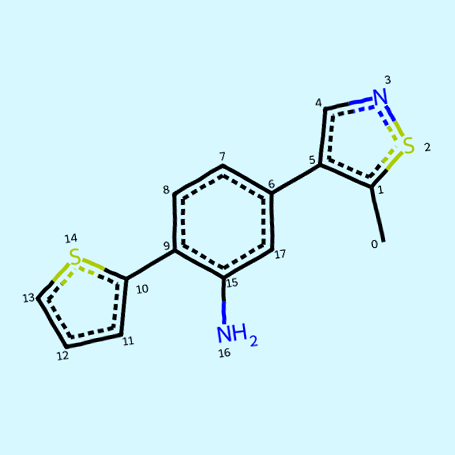 Cc1sncc1-c1ccc(-c2cccs2)c(N)c1